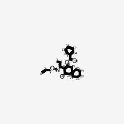 C=CCON=C(CC)C1=C(OC(=O)c2ccccc2)CC2(CCCCC2)CC1=O